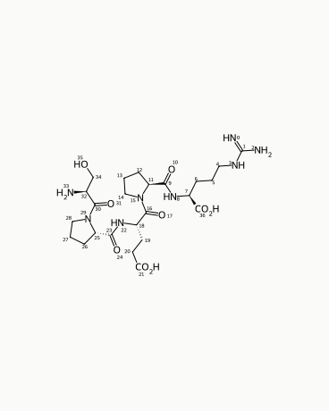 N=C(N)NCCC[C@H](NC(=O)[C@@H]1CCCN1C(=O)[C@H](CCC(=O)O)NC(=O)[C@@H]1CCCN1C(=O)[C@@H](N)CO)C(=O)O